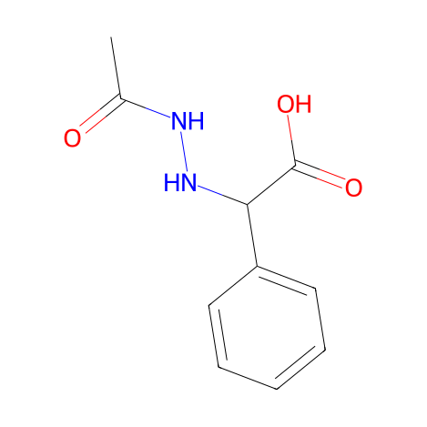 CC(=O)NNC(C(=O)O)c1ccccc1